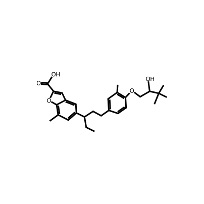 CCC(CCc1ccc(OCC(O)C(C)(C)C)c(C)c1)c1cc(C)c2oc(C(=O)O)cc2c1